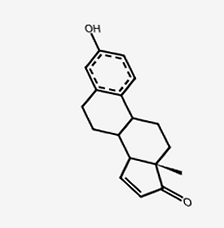 C[C@]12CCC3c4ccc(O)cc4CCC3C1C=CC2=O